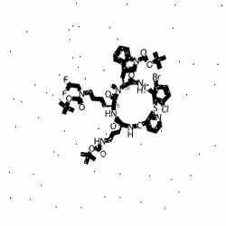 CN1C(=O)[C@H](CCCCN(CC(F)F)C(=O)OC(C)(C)C)NC(=O)[C@H](CCCNC(=O)OC(C)(C)C)NCc2cccnc2Sc2c(Cl)ccc(Br)c2CNC(=O)[C@@H]1Cc1cn(C(=O)OC(C)(C)C)c2ccccc12